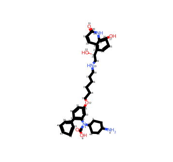 NC1CCC(N(C(=O)O)c2cc(OCCCCCCNC[C@H](O)c3ccc(O)c4[nH]c(=O)ccc34)ccc2-c2ccccc2)CC1